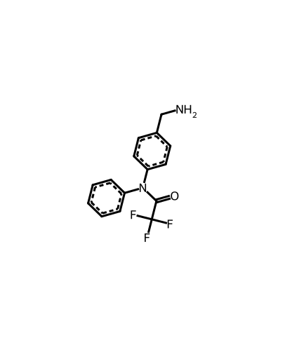 NCc1ccc(N(C(=O)C(F)(F)F)c2ccccc2)cc1